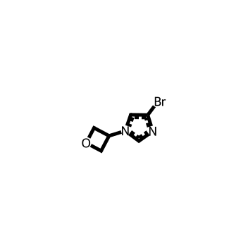 Brc1cn(C2COC2)cn1